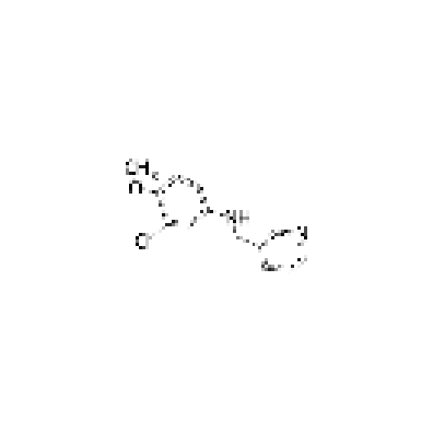 COc1ccc(NCc2cccnc2)cc1Cl